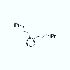 CC(C)CCCc1ccccc1CCCC(C)C